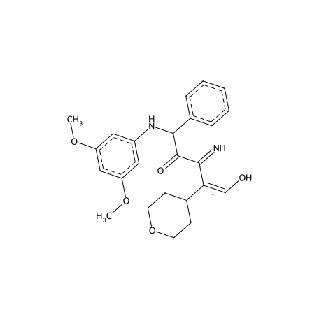 COc1cc(NC(C(=O)C(=N)/C(=C\O)C2CCOCC2)c2ccccc2)cc(OC)c1